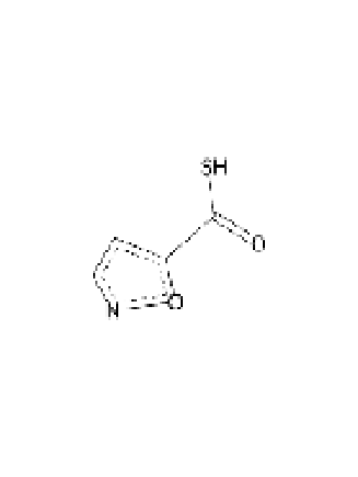 O=C(S)c1ccno1